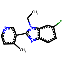 CCn1c(-c2cnccc2C)nc2ccc(F)cc21